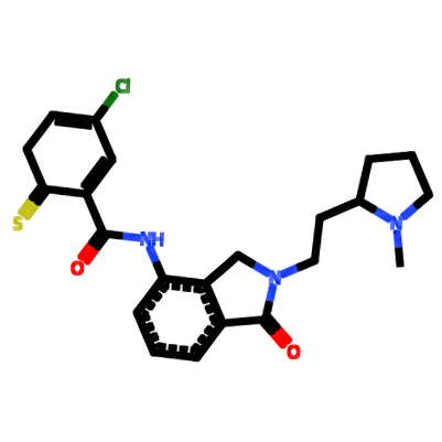 CN1CCCC1CCN1Cc2c(NC(=O)C3=CC(Cl)=CCC3=S)cccc2C1=O